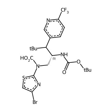 CC(C)(C)OC(=O)N[C@H](CN(C(=O)O)c1nc(Br)cs1)C(c1ccc(C(F)(F)F)nc1)C(C)(C)C